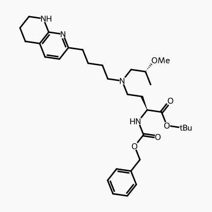 CO[C@H](C)CN(CCCCc1ccc2c(n1)NCCC2)CC[C@H](NC(=O)OCc1ccccc1)C(=O)OC(C)(C)C